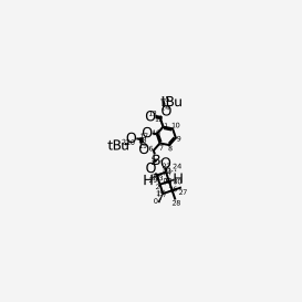 C[C@H]1C2[C@H]3OB(Cc4cccc(C(=O)OC(C)(C)C)c4OC(=O)OC(C)(C)C)O[C@@]3(C)[C@@H]2C1(C)C